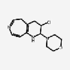 ClC1CC2=C(C=CN=CC2)NC1N1CCOCC1